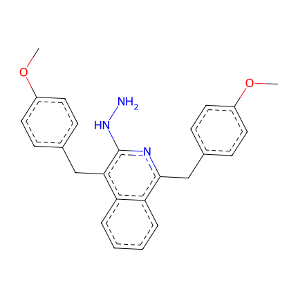 COc1ccc(Cc2nc(NN)c(Cc3ccc(OC)cc3)c3ccccc23)cc1